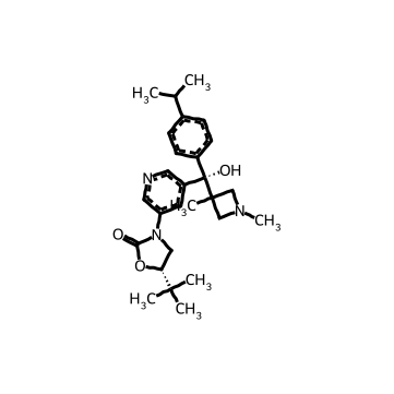 CC(C)c1ccc([C@](O)(c2cncc(N3C[C@H](C(C)(C)C)OC3=O)c2)C2(C)CN(C)C2)cc1